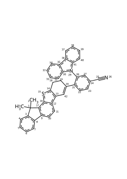 CC1(C)c2ccccc2-c2ccc3c4c(sc3c21)CCC(c1ccc(C#N)cc1-n1c2ccccc2c2ccccc21)=C4